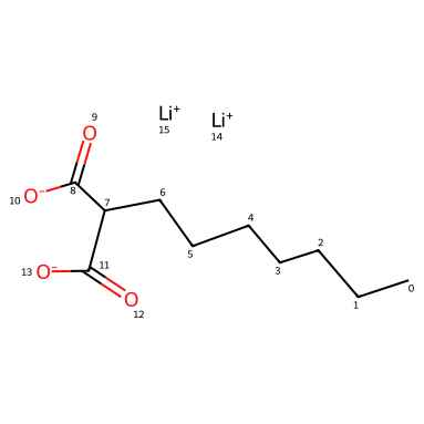 CCCCCCCC(C(=O)[O-])C(=O)[O-].[Li+].[Li+]